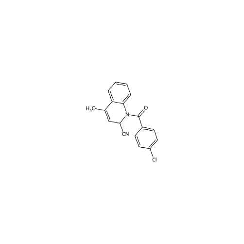 CC1=CC(C#N)N(C(=O)c2ccc(Cl)cc2)c2ccccc21